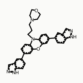 c1cc2c(cc1-c1ccc3[nH]ncc3c1)Oc1cc(-c3ccc4[nH]ncc4c3)ccc1N2CCCN1CCOCC1